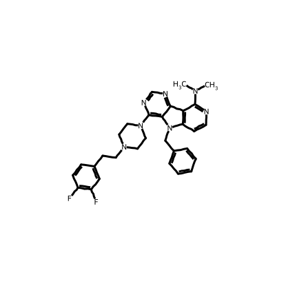 CN(C)c1nccc2c1c1ncnc(N3CCN(CCc4ccc(F)c(F)c4)CC3)c1n2Cc1ccccc1